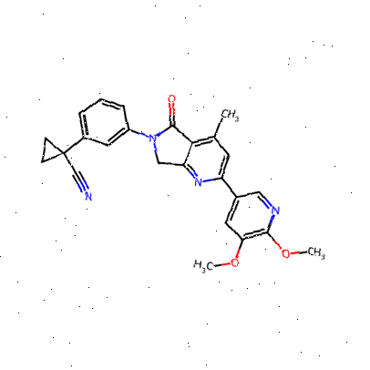 COc1cc(-c2cc(C)c3c(n2)CN(c2cccc(C4(C#N)CC4)c2)C3=O)cnc1OC